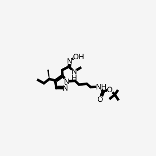 CC[C@@H](C)c1cnn(CCCCNC(=O)OC(C)(C)C)c1C/C(=N/O)NC